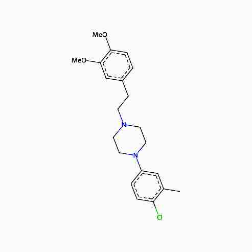 COc1ccc(CCN2CCN(c3ccc(Cl)c(C)c3)CC2)cc1OC